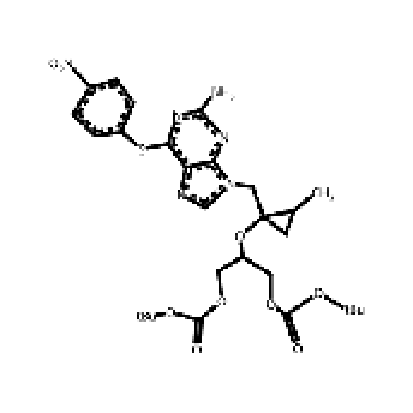 CC1CC1(Cn1cnc2c(Sc3ccc([N+](=O)[O-])cc3)nc(N)nc21)O[C](COC(=O)OC(C)(C)C)COC(=O)OC(C)(C)C